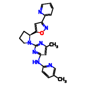 Cc1ccc(Nc2cc(C)nc(N3CCC[C@H]3c3cc(-c4ccccn4)no3)n2)nc1